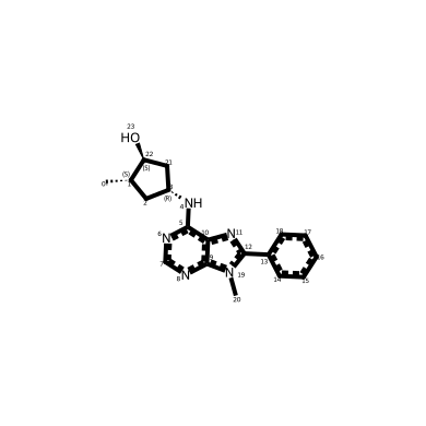 [CH2][C@H]1C[C@@H](Nc2ncnc3c2nc(-c2ccccc2)n3C)C[C@@H]1O